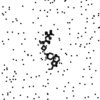 CCc1cc2c(s1)CCO[C@@]21CCN(C[C@H]2C[C@@H](NC(=O)CS(=O)(=O)NC)C2)[C@@H](C)C1